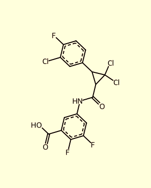 O=C(O)c1cc(NC(=O)C2C(c3ccc(F)c(Cl)c3)C2(Cl)Cl)cc(F)c1F